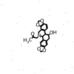 CC(=O)CN1Cc2c(ccc3c2OCO3)C2C(O)Cc3cc4c(cc3C21)OCO4